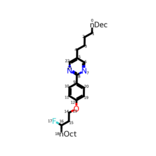 CCCCCCCCCCCCCCc1cnc(-c2ccc(OCCC(F)CCCCCCCC)cc2)nc1